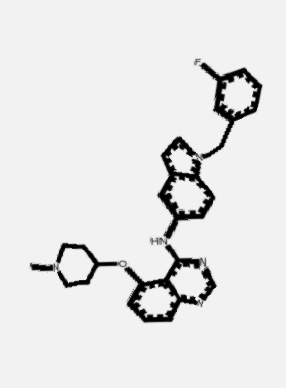 CN1CCC(Oc2cccc3ncnc(Nc4ccc5c(ccn5Cc5cccc(F)c5)c4)c23)CC1